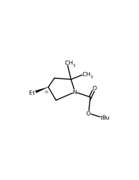 CC[C@@H]1CN(C(=O)OC(C)(C)C)C(C)(C)C1